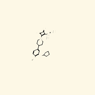 COc1ccc(C2CCN(c3c(NO)c(=O)c3=O)CC2)cc1OC1CCCC1